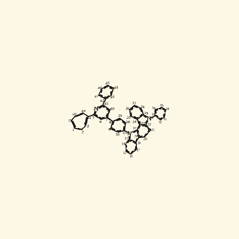 C1=CCC=C(c2cc(-c3ccc(-n4c5ccccc5c5ccc6c(c7ccccc7n6-c6ccccc6)c54)cc3)cc(-c3ccccc3)n2)C=C1